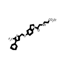 CCOC(=O)CCNCC(=O)N1CCc2cc(OCc3cc(-c4ccccc4)c(C(F)(F)F)s3)ccc21